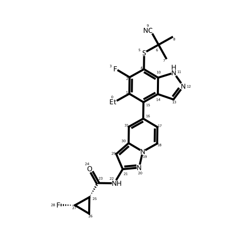 CCc1c(F)c(SC(C)(C)C#N)c2[nH]ncc2c1-c1ccn2nc(NC(=O)[C@@H]3C[C@@H]3F)cc2c1